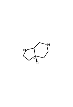 C1C[C@@H]2CCNC2CN1